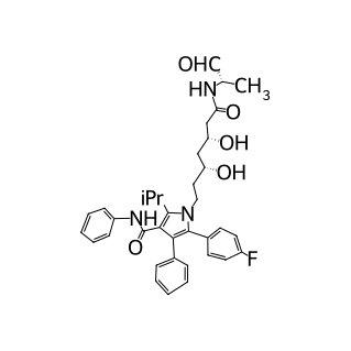 CC(C)c1c(C(=O)Nc2ccccc2)c(-c2ccccc2)c(-c2ccc(F)cc2)n1CC[C@@H](O)C[C@@H](O)CC(=O)N[C@@H](C)C=O